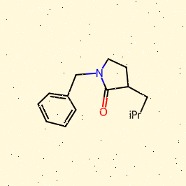 CC(C)CC1CCN(Cc2ccccc2)C1=O